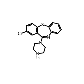 Clc1ccc2c(c1)C(N1CCNCC1)=Nc1ccccc1S2